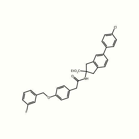 CCOC(=O)C1(NC(=O)Cc2ccc(OCc3cccc(F)c3)cc2)Cc2ccc(-c3ccc(Cl)cc3)cc2C1